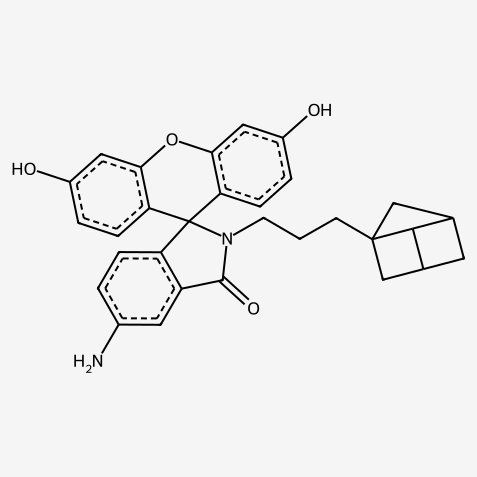 Nc1ccc2c(c1)C(=O)N(CCCC13CC4CC(C1)C43)C21c2ccc(O)cc2Oc2cc(O)ccc21